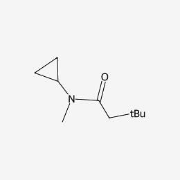 CN(C(=O)CC(C)(C)C)C1CC1